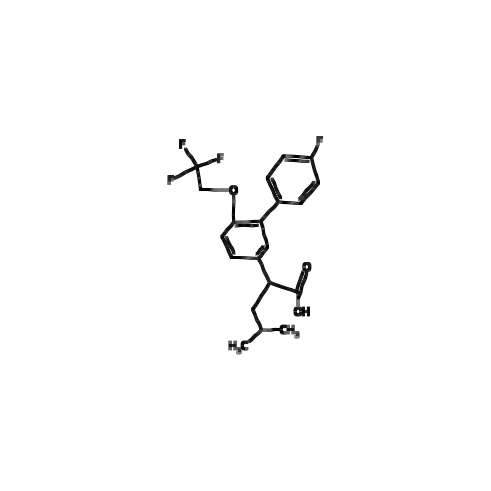 CC(C)CC(C(=O)O)c1ccc(OCC(F)(F)F)c(-c2ccc(F)cc2)c1